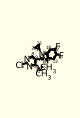 CN(C)c1nc(Cl)ncc1-c1nc2cc(F)c(F)cc2n1C1CC1